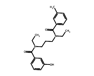 CCN(CCCN(CC)C(=O)c1cccc(O)c1)C(=O)c1cccc(C)c1